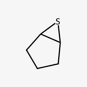 C1CC2SC2C1